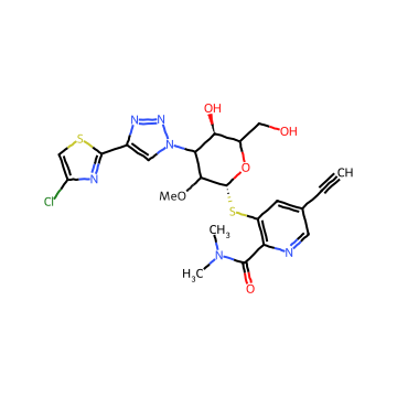 C#Cc1cnc(C(=O)N(C)C)c(S[C@H]2OC(CO)[C@H](O)C(n3cc(-c4nc(Cl)cs4)nn3)C2OC)c1